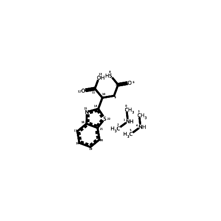 CNC.CNC.O=C(S)CC(C(=O)O)c1nc2ccccc2s1